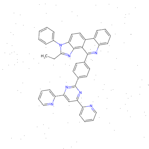 CCc1nc2c3c(-c4ccc(-c5nc(-c6ccccn6)cc(-c6ccccn6)n5)cc4)nc4ccccc4c3ccc2n1-c1ccccc1